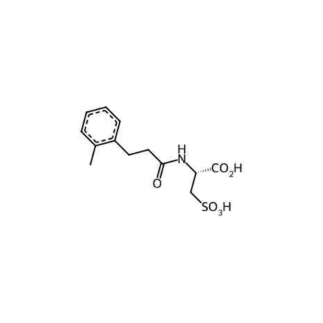 Cc1ccccc1CCC(=O)N[C@@H](CS(=O)(=O)O)C(=O)O